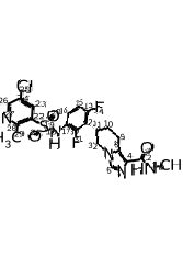 CNC(=O)c1ncn2c1CC[C@@H](c1c(F)ccc(NS(=O)(=O)c3cc(Cl)cnc3C)c1F)C2